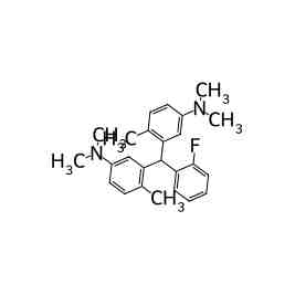 Cc1ccc(N(C)C)cc1C(c1cc(N(C)C)ccc1C)c1ccccc1F